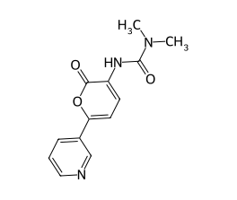 CN(C)C(=O)Nc1ccc(-c2cccnc2)oc1=O